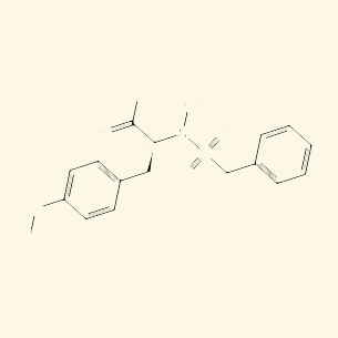 COc1ccc(C[C@@H](C(=O)O)N(C)S(=O)(=O)Cc2ccccc2)cc1